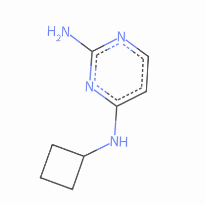 Nc1nccc(NC2CCC2)n1